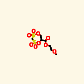 COCCOC(=O)C1COS(=O)(=O)CS(=O)(=O)O1